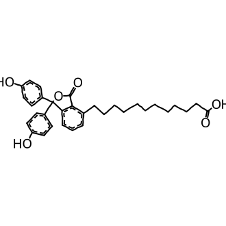 O=C(O)CCCCCCCCCCCc1cccc2c1C(=O)OC2(c1ccc(O)cc1)c1ccc(O)cc1